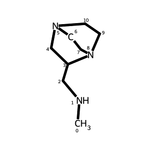 CNCC1CN2CCN1CC2